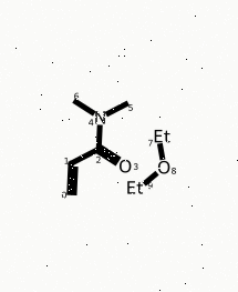 C=CC(=O)N(C)C.CCOCC